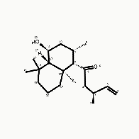 C=C[C@@H](C)CC(=O)[C@H]1[C@@H](C)C[C@H](O)[C@H]2C(C)(C)CCC[C@]12C